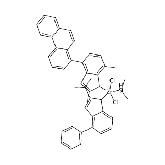 CC1=Cc2c(-c3cccc4c3ccc3ccccc34)ccc(C)c2[CH]1[Zr]([Cl])([Cl])([CH]1C(C(C)C)=Cc2c(-c3ccccc3)cccc21)[SiH](C)C